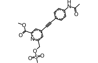 COC(=O)c1cc(C#Cc2ccc(NC(C)=O)cc2)cc(COS(C)(=O)=O)n1